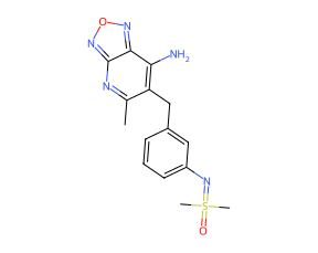 Cc1nc2nonc2c(N)c1Cc1cccc(N=S(C)(C)=O)c1